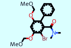 COCOc1cc(OCOC)c(-c2ccccc2)c(C(=O)N(C)C)c1Br